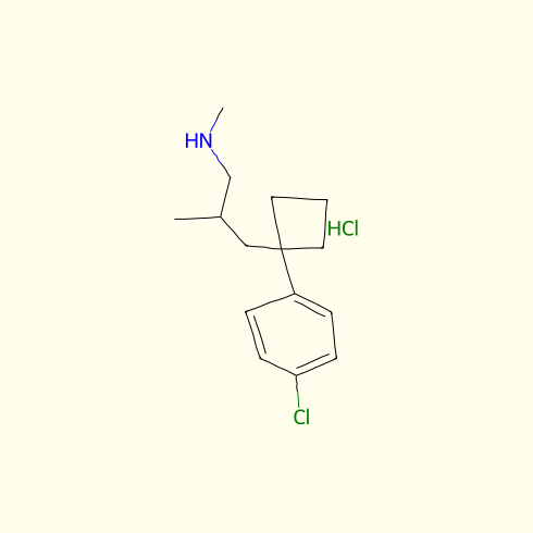 CNCC(C)CC1(c2ccc(Cl)cc2)CCC1.Cl